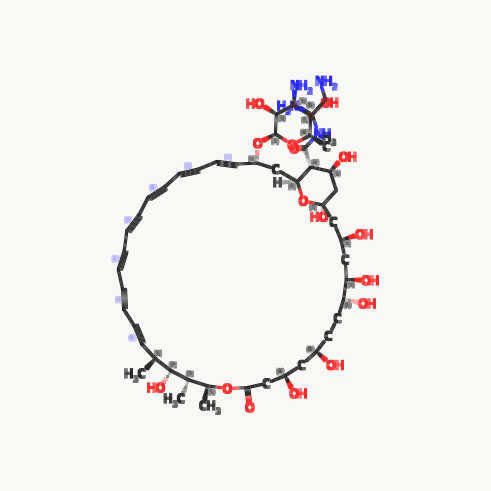 C[C@@H]1[C@H](O)[C@@H](C)/C=C/C=C/C=C/C=C/C=C/C=C/C=C/[C@H](O[C@@H]2O[C@H](C)[C@@H](O)[C@H](N)[C@@H]2O)C[C@@H]2O[C@](O)(C[C@@H](O)C[C@@H](O)[C@H](O)CC[C@@H](O)C[C@@H](O)CC(=O)O[C@H]1C)C[C@H](O)[C@H]2C(=O)N[C@@H](N)CN